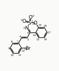 O=S1(=O)N=C(/C=C/c2ccccc2Br)c2ccccc2O1